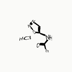 CCC(=O)Nc1cnno1.Cl